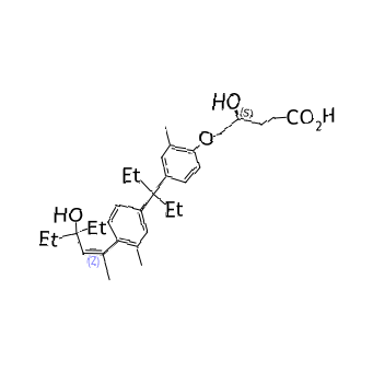 CCC(O)(/C=C(/C)c1ccc(C(CC)(CC)c2ccc(OC[C@@H](O)CCC(=O)O)c(C)c2)cc1C)CC